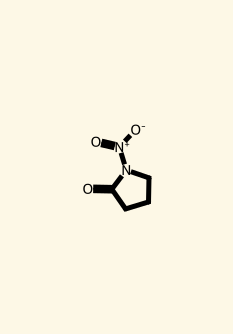 O=C1CCCN1[N+](=O)[O-]